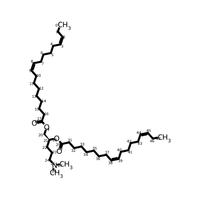 CC/C=C\CCCC/C=C\CCCCCCCC(=O)OC[C@H](CCCN(C)C)OC(=O)CCCCCCC/C=C\CCCC/C=C\CC